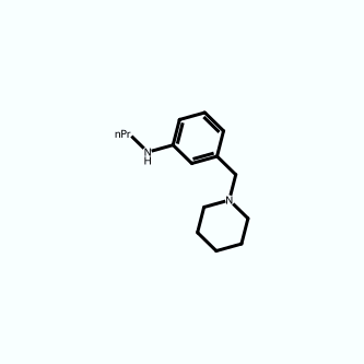 CCCNc1cccc(CN2CCCCC2)c1